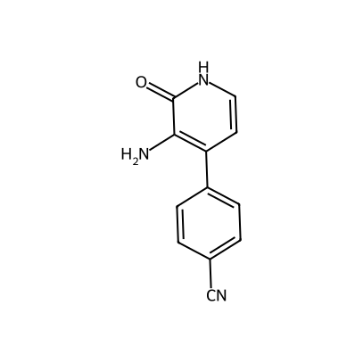 N#Cc1ccc(-c2cc[nH]c(=O)c2N)cc1